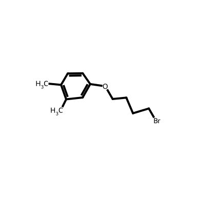 Cc1ccc(OCCCCBr)cc1C